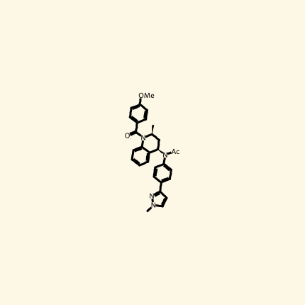 COc1ccc(C(=O)N2c3ccccc3[C@H](N(C(C)=O)c3ccc(-c4ccn(C)n4)cc3)C[C@@H]2C)cc1